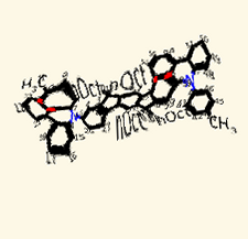 CCCCCCCCC1(CCCCCCCC)c2cc(N(c3ccc(C)cc3)c3ccccc3-c3ccccc3)ccc2-c2cc3c(cc21)-c1ccc(N(c2ccc(C)cc2)c2ccccc2-c2ccccc2)cc1C3(CCCCCCCC)CCCCCCCC